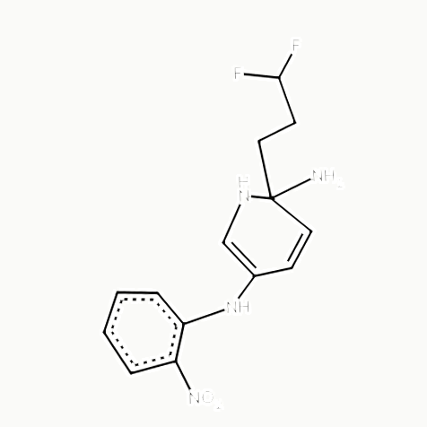 NC1(CCC(F)F)C=CC(Nc2ccccc2[N+](=O)[O-])=CN1